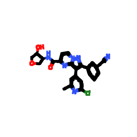 Cc1cc(-c2c(-c3cccc(C#N)c3)nn3ccc(C(=O)N[C@H]4COC[C@H]4O)nc23)cc(Cl)n1